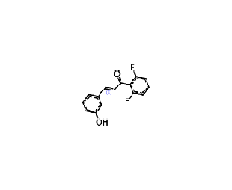 O=C(/C=C/c1cccc(O)c1)c1c(F)cccc1F